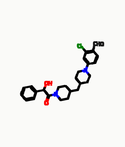 O=Cc1ccc(N2CCC(CC3CCN(C(=O)C(O)c4ccccc4)CC3)CC2)cc1Cl